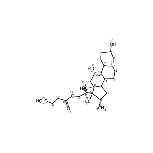 C[C@@H]1CC2C3CCC4=CC(O)CC[C@]4(C)C3=CC[C@]2(C)[C@@]1(C)C(=O)COC(=O)CCC(=O)O